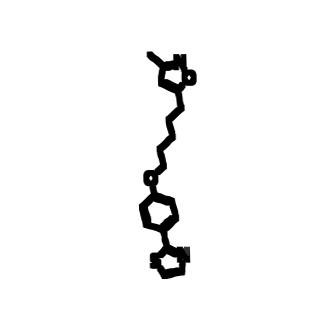 Cc1cc(CCCCCOc2ccc(-c3nccs3)cc2)on1